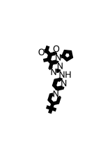 CC(=O)c1c(C)c2cnc(Nc3ccc(N4CCC(C(C)(C)C)CC4)cn3)nc2n(C2CCCC2)c1=O